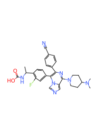 CC(NC(=O)O)c1ccc(-c2c(-c3ccc(C#N)cc3)nc(N3CCC(N(C)C)CC3)c3cncn23)cc1F